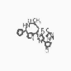 C[C@@H]1CCC[C@H](n2cnc(-c3cc(Cl)ccc3-n3cc(C(F)(F)F)nn3)cc2=O)c2cc(ccn2)C(c2ccccc2)CNC1=O